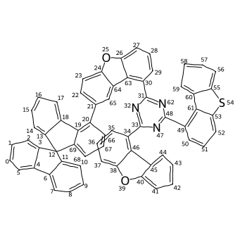 c1ccc2c(c1)-c1ccccc1C21c2ccccc2-c2c(-c3ccc4oc5cccc(-c6nc(-c7cccc8oc9ccccc9c78)nc(-c7cccc8sc9ccccc9c78)n6)c5c4c3)cccc21